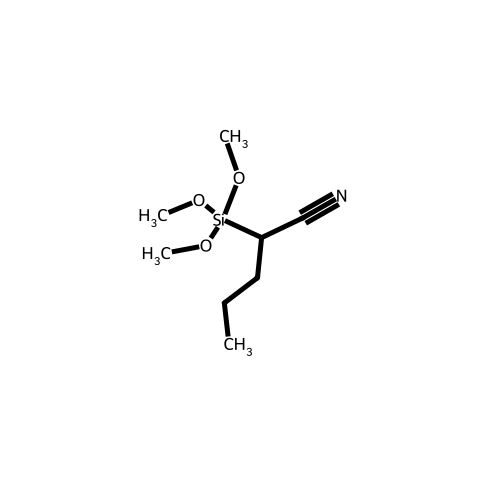 CCCC(C#N)[Si](OC)(OC)OC